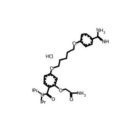 CC(C)N(C(=O)c1ccc(OCCCCCOc2ccc(C(=N)N)cc2)cc1OCC(N)=O)C(C)C.Cl